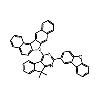 CC1(C)c2ccccc2-c2c(-n3c4cc5ccccc5cc4c4c5ccccc5ccc43)nc(-c3ccc4oc5ccccc5c4c3)nc21